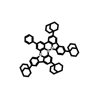 c1ccc(-c2cc3c4c(c2)-n2c5ccc(C67CCCC(CCC6)C7)cc5c5cc(C67CCCC(CCC6)C7)cc(c52)B4n2c4ccc(C56CCCC(CCC5)C6)cc4c4cc(C56CCCC(CCC5)C6)cc-3c42)cc1